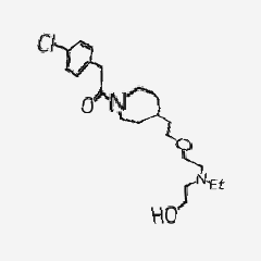 CCN(CCO)CCOCCC1CCN(C(=O)Cc2ccc(Cl)cc2)CC1